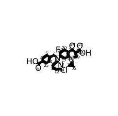 O=C(O)c1ccc(CN(c2cccc(Cl)n2)c2cc3c(cc2F)c(=O)c(C(=O)O)cn3C2CC2)cc1